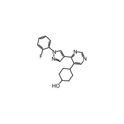 OC1CCC(c2cncnc2-c2cnn(-c3ccccc3F)c2)CC1